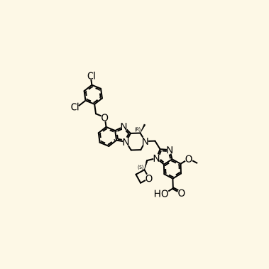 COc1cc(C(=O)O)cc2c1nc(CN1CCn3c(nc4c(OCc5ccc(Cl)cc5Cl)cccc43)[C@H]1C)n2C[C@@H]1CCO1